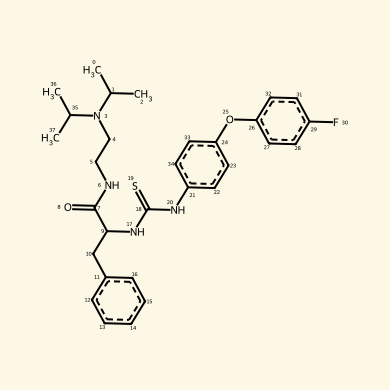 CC(C)N(CCNC(=O)C(Cc1ccccc1)NC(=S)Nc1ccc(Oc2ccc(F)cc2)cc1)C(C)C